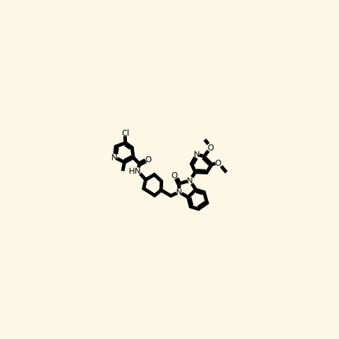 COc1cc(-n2c(=O)n(CC3CCC(NC(=O)c4cc(Cl)cnc4C)CC3)c3ccccc32)cnc1OC